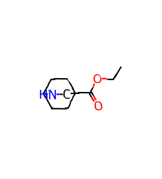 CCOC(=O)C12CCC(CC1)NC2